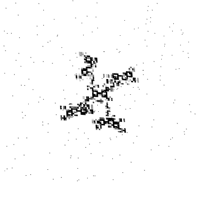 O=C(NCCOCCOc1c(-c2ccc(O)c(O)c2)oc2cc(O)cc(O)c2c1=O)c1cc(C(=O)NCCOCCOc2c(-c3ccc(O)c(O)c3)oc3cc(O)cc(O)c3c2=O)cc(-c2cc(C(=O)NCCOCCOc3c(-c4ccc(O)c(O)c4)oc4cc(O)cc(O)c4c3=O)cc(C(O)NCCOCCOc3c(-c4ccc(O)c(O)c4)oc4cc(O)cc(O)c4c3=O)c2)c1